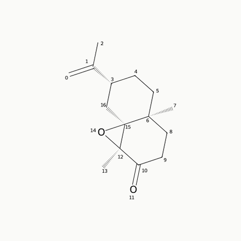 C=C(C)[C@@H]1CC[C@@]2(C)CCC(=O)[C@@]3(C)O[C@@]23C1